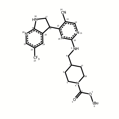 CC(C)(C)OC(=O)N1CCC(CNc2ncc(C#N)c(C3CNc4ncc(C(F)(F)F)cc43)n2)CC1